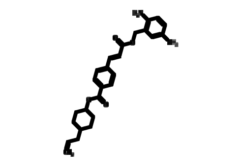 C=CCC1CCC(OC(=O)c2ccc(/C=C/C(=O)OCc3cc(N)ccc3N)cc2)CC1